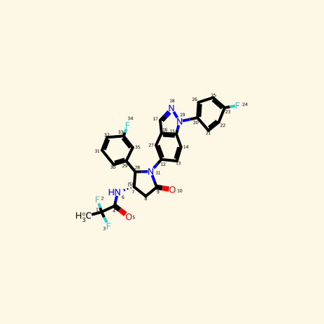 CC(F)(F)C(=O)N[C@H]1CC(=O)N(c2ccc3c(cnn3-c3ccc(F)cc3)c2)C1c1cccc(F)c1